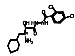 N[C@H](CC1CCCCC1)C(O)C(=O)NNC(=O)c1ccc(Cl)cc1Cl